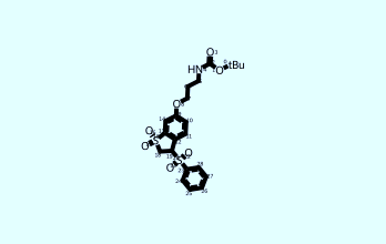 CC(C)(C)OC(=O)NCCCOc1ccc2c(c1)S(=O)(=O)CC2S(=O)(=O)c1ccccc1